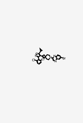 Clc1cccc(Cl)c1-c1noc(C2CC2)c1C1=CC2(CCN(c3cnc4cc(Br)ccc4n3)CC2)C1